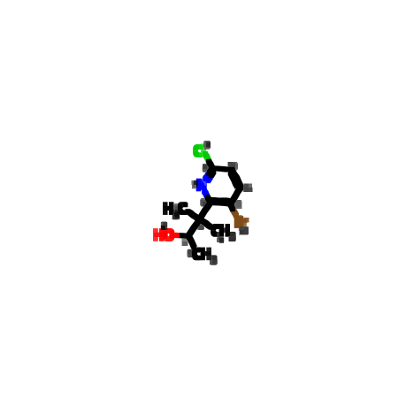 CC(O)C(C)(C)c1nc(Cl)ccc1Br